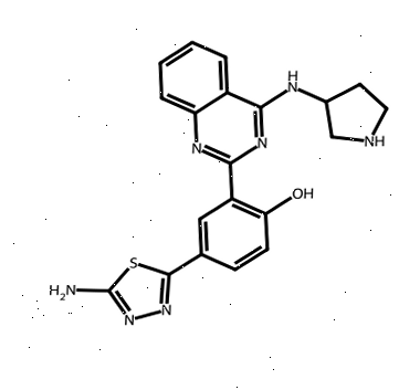 Nc1nnc(-c2ccc(O)c(-c3nc(NC4CCNC4)c4ccccc4n3)c2)s1